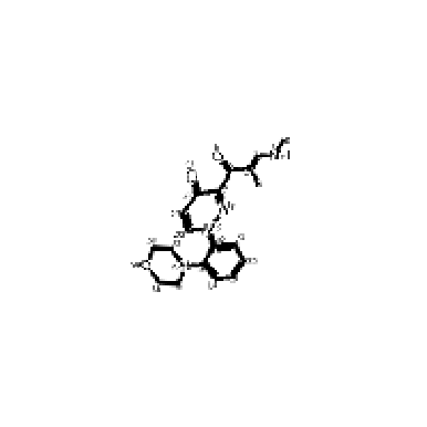 CN/C=C(\C)C(=O)c1nn(-c2ccccc2N2CCOCC2)ccc1=O